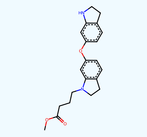 COC(=O)CCCN1CCc2ccc(Oc3ccc4c(c3)NCC4)cc21